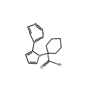 CC(C)C(=O)C1(n2cccc2-c2ccccc2)CCCCC1